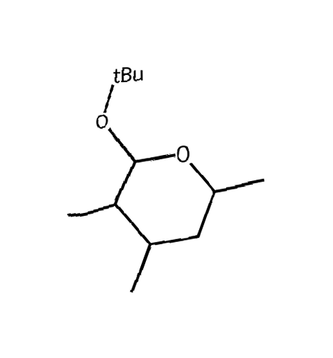 CC1CC(C)C(C)C(OC(C)(C)C)O1